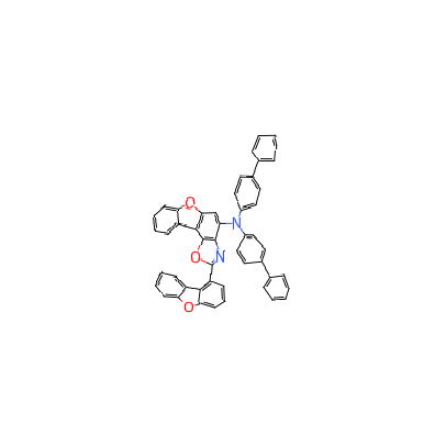 c1ccc(-c2ccc(N(c3ccc(-c4ccccc4)cc3)c3cc4oc5ccccc5c4c4oc(-c5cccc6oc7ccccc7c56)nc34)cc2)cc1